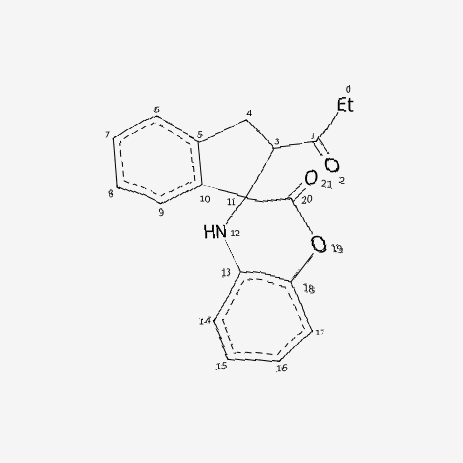 CCC(=O)C1Cc2ccccc2C12Nc1ccccc1OC2=O